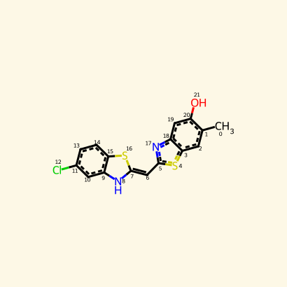 Cc1cc2sc(/C=C3/Nc4cc(Cl)ccc4S3)nc2cc1O